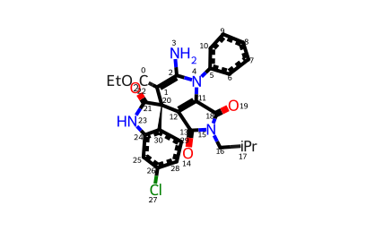 CCOC(=O)C1=C(N)N(c2ccccc2)C2=C(C(=O)N(CC(C)C)C2=O)[C@]12C(=O)Nc1cc(Cl)ccc12